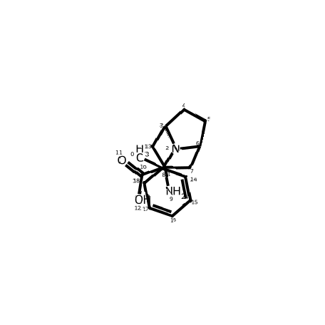 CC1(N2C3CCC2CC(N)(C(=O)O)C3)C=CC=CC1